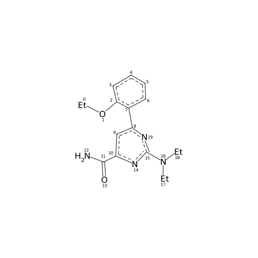 CCOc1ccccc1-c1cc(C(N)=O)nc(N(CC)CC)n1